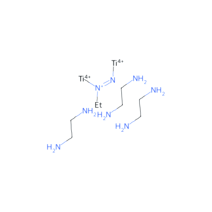 CC[N+]([Ti+4])=[N][Ti+4].NCCN.NCCN.NCCN